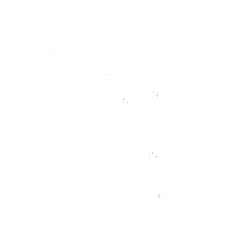 O=C(NCCO)c1cc(NC2CC23CC(=CO)C3)ncc1F